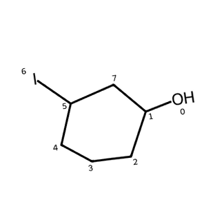 OC1CCCC(I)C1